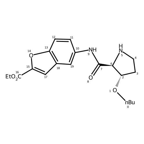 CCCCO[C@H]1CCN[C@@H]1C(=O)Nc1ccc2oc(C(=O)OCC)cc2c1